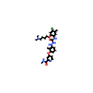 CNC(=O)c1cc(Oc2cccc(NNC(=O)Nc3cc(C)c(Cl)cc3OCCCCN(C)C)c2C)ccn1